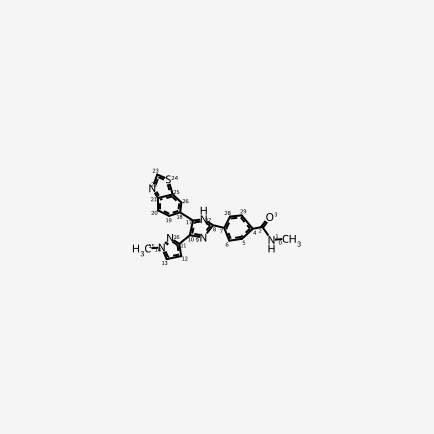 CNC(=O)c1ccc(-c2nc(-c3ccn(C)n3)c(-c3ccc4ncsc4c3)[nH]2)cc1